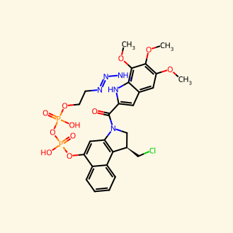 COc1cc2cc(C(=O)N3C[C@@H](CCl)c4c3cc(OP(=O)(O)OP(=O)(O)OCCN=NN)c3ccccc43)[nH]c2c(OC)c1OC